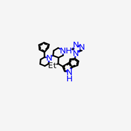 CCC(c1c[nH]c2ccc(-n3cnnc3)cc12)C1CNCCC1N1CCCCC1c1ccccc1